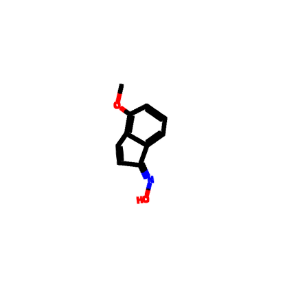 COc1cccc2c1C=CC2=NO